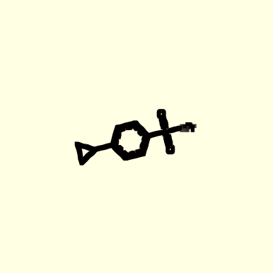 CCCS(=O)(=O)c1ccc(C2CC2)cc1